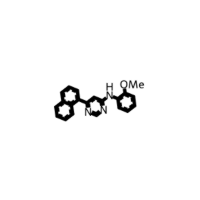 COc1ccccc1Nc1cc(-c2cccc3ccccc23)ncn1